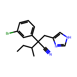 CCC(C)C(C#N)(Cc1c[nH]cn1)c1cccc(Br)c1